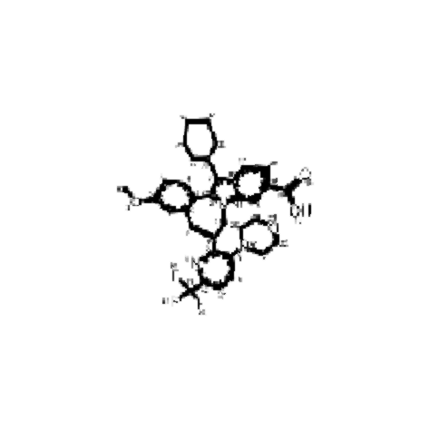 COc1ccc2c(c1)C=C(c1nc(C(F)(F)F)ccc1N1CCOCC1)Cn1c-2c(C2CCCCC2)c2ccc(C(=O)O)cc21